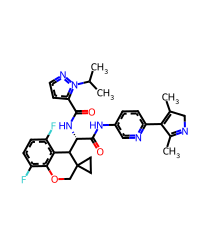 CC1=NCC(C)=C1c1ccc(NC(=O)[C@@H](NC(=O)c2ccnn2C(C)C)C2c3c(F)ccc(F)c3OCC23CC3)cn1